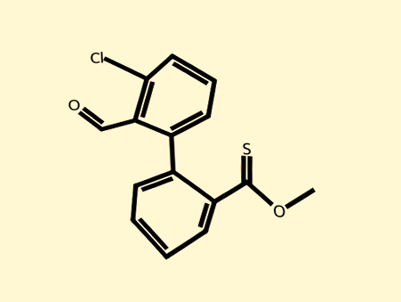 COC(=S)c1ccccc1-c1cccc(Cl)c1C=O